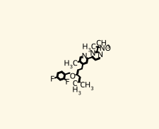 CC(C)=C/C(=C\Cc1cc(-c2ccnc(C(C)(C)N=O)n2)ncc1C)OCc1ccc(F)cc1F